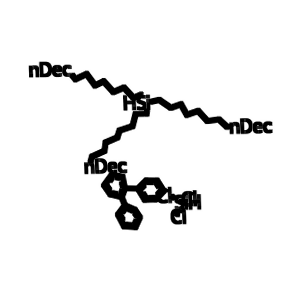 CCCCCCCCCCCCCCCCCC[SiH](CCCCCCCCCCCCCCCCCC)CCCCCCCCCCCCCCCCCC.Cl[SiH](Cl)Cl.c1ccc(-c2ccccc2-c2ccccc2)cc1